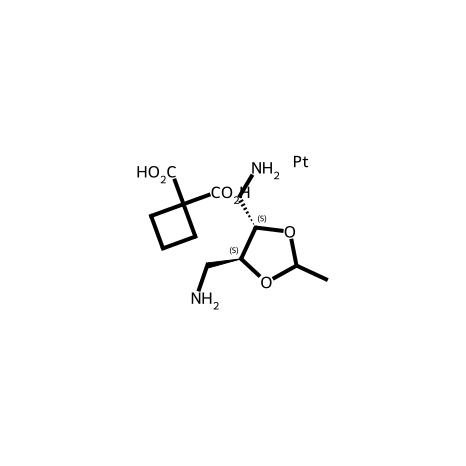 CC1O[C@@H](CN)[C@H](CN)O1.O=C(O)C1(C(=O)O)CCC1.[Pt]